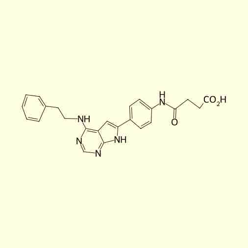 O=C(O)CCC(=O)Nc1ccc(-c2cc3c(NCCc4ccccc4)ncnc3[nH]2)cc1